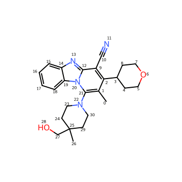 Cc1c(C2CCOCC2)c(C#N)c2nc3ccccc3n2c1N1CCC(C)(CO)CC1